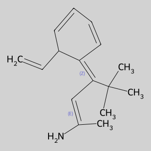 C=CC1C=CC=C/C1=C(/C=C(\C)N)C(C)(C)C